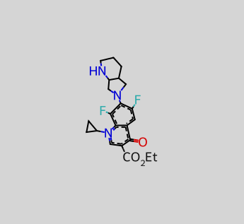 CCOC(=O)c1cn(C2CC2)c2c(F)c(N3CC4CCCNC4C3)c(F)cc2c1=O